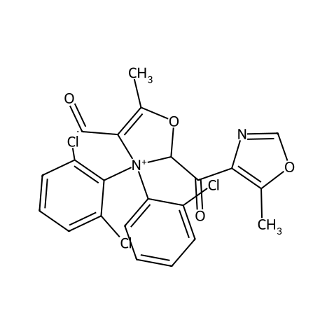 CC1=C([C]=O)[N+](c2ccccc2Cl)(c2c(Cl)cccc2Cl)C(C(=O)c2ncoc2C)O1